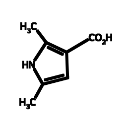 Cc1cc(C(=O)O)c(C)[nH]1